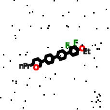 CCCC1CCC(C2CC=C(C3CCC(c4ccc(OCC)c(F)c4F)CC3)CC2)CO1